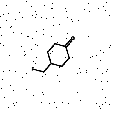 O=C1CCC(CF)CC1